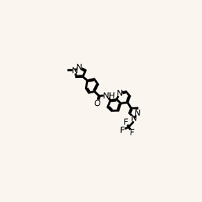 Cn1cc(-c2ccc(C(=O)Nc3cccc4c(-c5cnn(CC(F)(F)F)c5)ccnc34)cc2)cn1